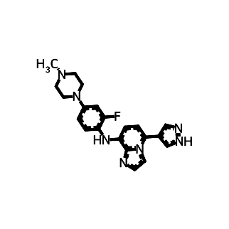 CN1CCN(c2ccc(Nc3ccc(-c4cn[nH]c4)n4ccnc34)c(F)c2)CC1